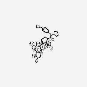 CC1CC2NC(=O)C=C[C@]2(C)[C@@H]2CC[C@]3(C)C(C(=O)N(c4ccc(Cl)cc4)C4CCCC4)CC[C@H]3[C@H]12